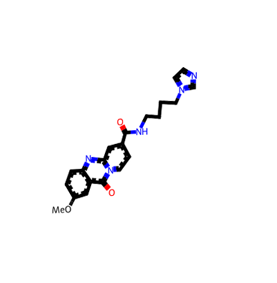 COc1ccc2nc3cc(C(=O)NCCCCn4ccnc4)ccn3c(=O)c2c1